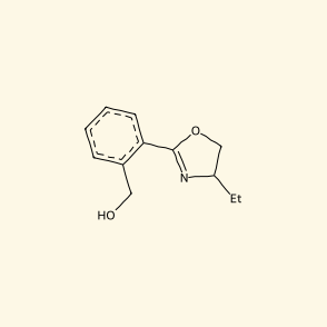 CCC1COC(c2ccccc2CO)=N1